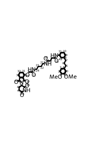 COc1ccc(CCCc2cccc(NC(=O)CCC(=O)NCCCCNC(=O)COc3cccc4c3C(=O)N(C3CCC(=O)NC3=O)C4=O)c2)cc1OC